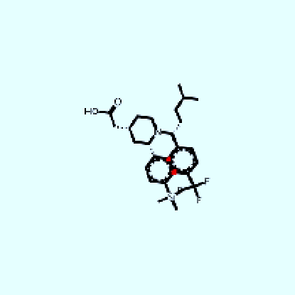 CC(C)CC[C@H](c1ccc(C(F)(F)F)cc1)N1CC[C@@H](CC(=O)O)C[C@H]1c1ccc([Si](C)(C)C)cc1